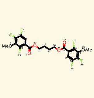 COc1c(F)c(F)cc(C(=O)OCCCCOC(=O)c2cc(F)c(F)c(OC)c2F)c1F